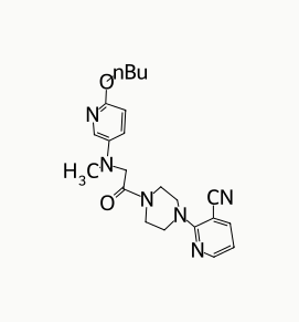 CCCCOc1ccc(N(C)CC(=O)N2CCN(c3ncccc3C#N)CC2)cn1